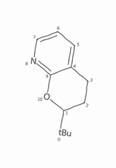 CC(C)(C)C1CCc2cccnc2O1